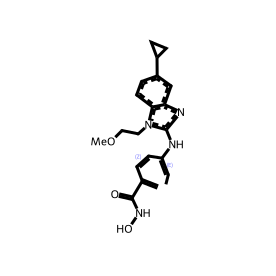 C=C(/C=C\C(=C/C)Nc1nc2cc(C3CC3)ccc2n1CCOC)C(=O)NO